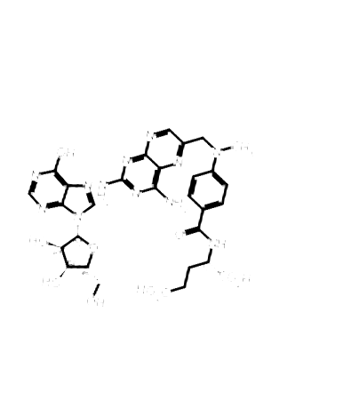 CN(Cc1cnc2nc(N)nc(N)c2n1)c1ccc(C(=O)N[C@@H](CCC(=O)O)C(=O)O)cc1.OC[C@H]1O[C@@H](n2cnc3c(O)ncnc32)[C@H](O)[C@@H]1O